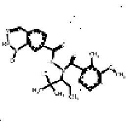 CCC(N(NC(=O)c1ccc2c(c1)B(O)NN=C2)C(=O)c1cccc(OC)c1C)C(C)(C)C